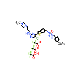 COc1ccc(CNC(=O)NCc2ccc3cc(-c4nc(NCCCN5CCN(C)CC5)ncc4Cl)sc3c2)cc1.O=C(O)C(F)(F)F.O=C(O)C(F)(F)F.O=C(O)C(F)(F)F